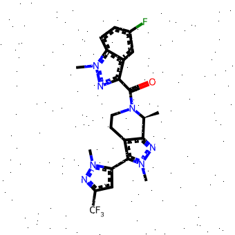 C[C@H]1c2nn(C)c(-c3cc(C(F)(F)F)nn3C)c2CCN1C(=O)c1nn(C)c2ccc(F)cc12